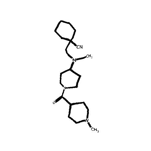 CN1CCC(C(=O)N2CCC(N(C)CC3(C#N)CCCCC3)CC2)CC1